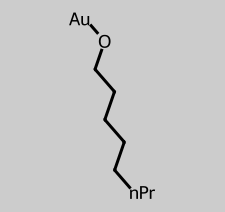 CCCCCCCC[O][Au]